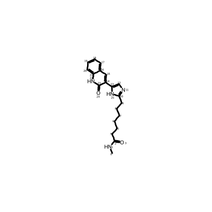 CNC(=O)CCCCCCc1ncc(-c2cc3ccccc3[nH]c2=O)[nH]1